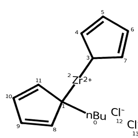 CCCC[C]1([Zr+2][CH]2C=CC=C2)C=CC=C1.[Cl-].[Cl-]